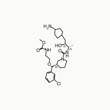 COC(=O)NCCOC(c1cccc(Cl)c1)[C@@H]1CCCN(C(=O)N[C@@H](C)[C@@H](O)CC2CCC(N)CC2)C1